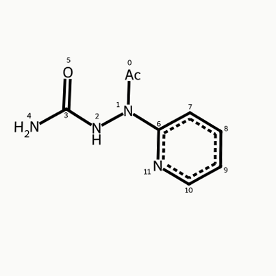 CC(=O)N(NC(N)=O)c1ccccn1